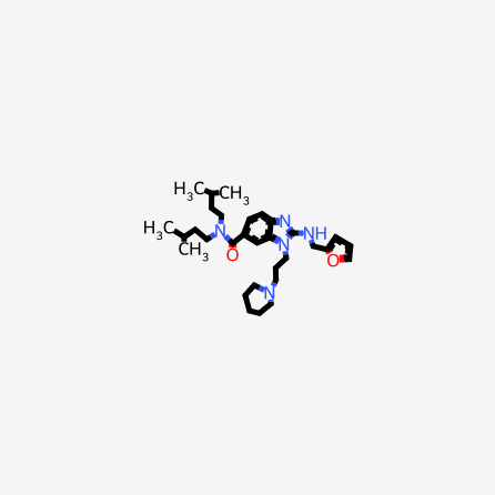 CC(C)CCN(CCC(C)C)C(=O)c1ccc2nc(NCc3ccco3)n(CCCN3CCCCC3)c2c1